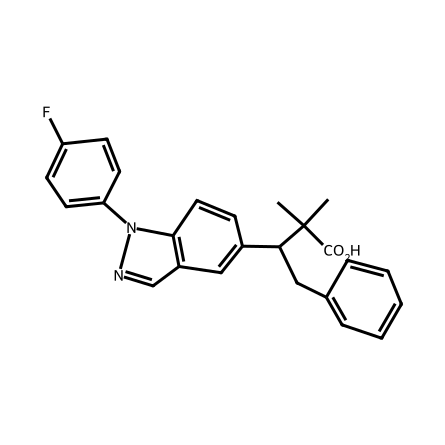 CC(C)(C(=O)O)C(Cc1ccccc1)c1ccc2c(cnn2-c2ccc(F)cc2)c1